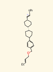 CCC=CCOCc1ccc(C2CCC([C@H]3CC[C@H](/C=C/CCC)CC3)CC2)cc1